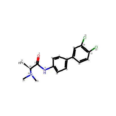 CCC[C@@H](C(=O)Nc1ccc(-c2ccc(Cl)c(Cl)c2)cc1)N(C)C